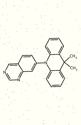 CC1(C)c2ccccc2N(c2ccc3cncnc3c2)c2ccccc21